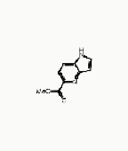 COC(=O)c1ccc2[nH]ccc2n1